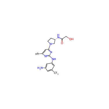 CCCc1cc(N2CC[C@H](NC(=O)CO)C2)nc(Nc2cc(N)cc(C(F)(F)F)c2)n1